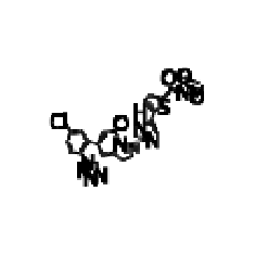 CS(=O)(=O)NC(=O)c1ccc(-c2cnc([C@@H]3CCc4cc(-c5cc(Cl)ccc5-n5cnnn5)cc(=O)n43)[nH]2)s1